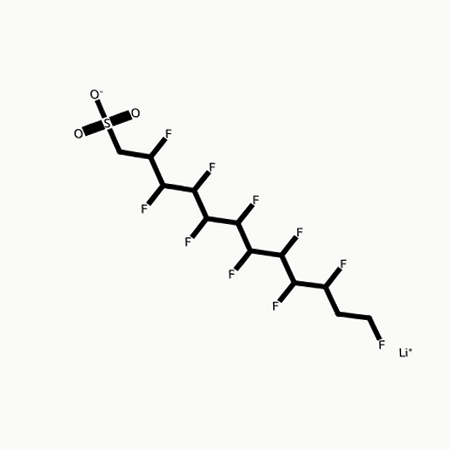 O=S(=O)([O-])CC(F)C(F)C(F)C(F)C(F)C(F)C(F)C(F)C(F)CCF.[Li+]